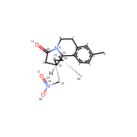 Cc1ccc2c(c1)CCN1C(=O)C[C@H]3[C@H](C[N+](=O)[O-])[C@@H](C)C[C@]231